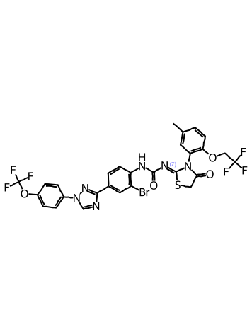 Cc1ccc(OCC(F)(F)F)c(N2C(=O)CS/C2=N\C(=O)Nc2ccc(-c3ncn(-c4ccc(OC(F)(F)F)cc4)n3)cc2Br)c1